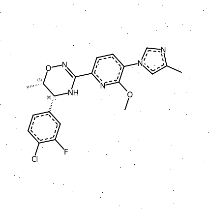 COc1nc(C2=NO[C@@H](C)[C@@H](c3ccc(Cl)c(F)c3)N2)ccc1-n1cnc(C)c1